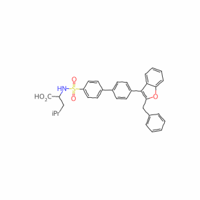 CC(C)CC(NS(=O)(=O)c1ccc(-c2ccc(-c3c(Cc4ccccc4)oc4ccccc34)cc2)cc1)C(=O)O